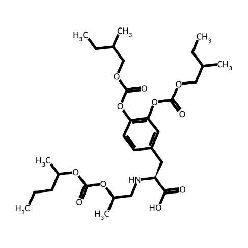 CCCC(C)OC(=O)OC(C)CN[C@@H](Cc1ccc(OC(=O)OCC(C)CC)c(OC(=O)OCC(C)CC)c1)C(=O)O